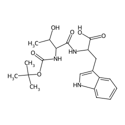 CC(O)C(NC(=O)OC(C)(C)C)C(=O)NC(Cc1c[nH]c2ccccc12)C(=O)O